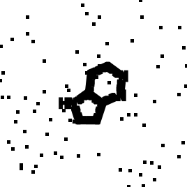 [c]1cc2nnccc2[nH]1